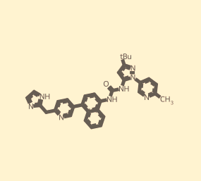 Cc1ccc(-n2nc(C(C)(C)C)cc2NC(=O)Nc2ccc(-c3ccc(Cc4ncc[nH]4)nc3)c3ccccc23)cn1